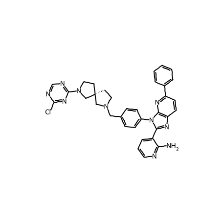 Nc1ncccc1-c1nc2ccc(-c3ccccc3)nc2n1-c1ccc(CN2CC[C@]3(CCN(c4ncnc(Cl)n4)C3)C2)cc1